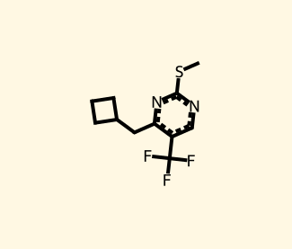 CSc1ncc(C(F)(F)F)c(CC2CCC2)n1